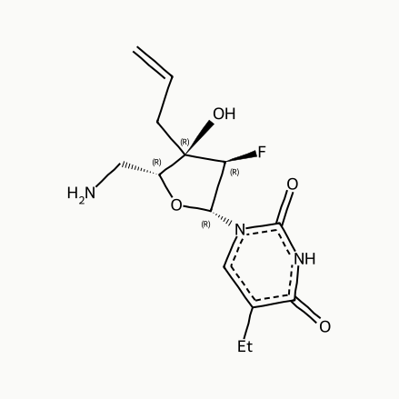 C=CC[C@@]1(O)[C@@H](CN)O[C@@H](n2cc(CC)c(=O)[nH]c2=O)[C@@H]1F